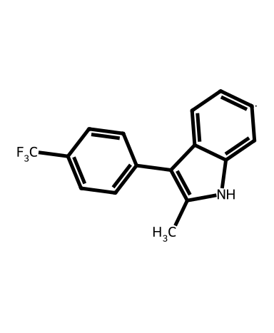 Cc1[nH]c2c[c]ccc2c1-c1ccc(C(F)(F)F)cc1